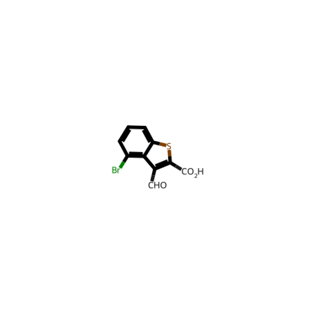 O=Cc1c(C(=O)O)sc2cccc(Br)c12